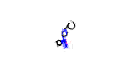 CN(C)n1c(=O)n(C2CCN(CC3CCCCCCC3)CC2)c2ccccc21